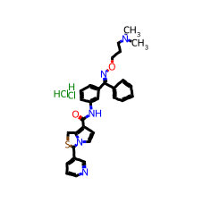 CN(C)CCCON=C(c1ccccc1)c1cccc(NC(=O)c2ccn3c2CSC3c2cccnc2)c1.Cl.Cl